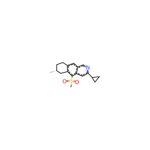 C[C@@H]1CCc2cc3cnc(C4CC4)cc3c(S(C)(=O)=O)c2C1